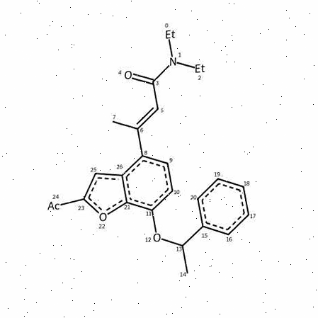 CCN(CC)C(=O)/C=C(\C)c1ccc(OC(C)c2ccccc2)c2oc(C(C)=O)cc12